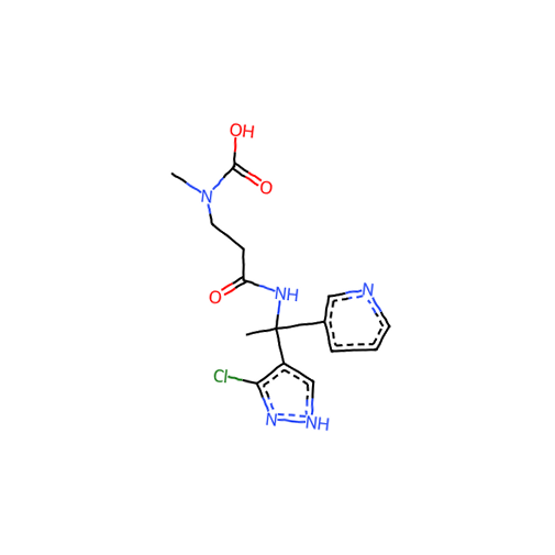 CN(CCC(=O)NC(C)(c1cccnc1)c1c[nH]nc1Cl)C(=O)O